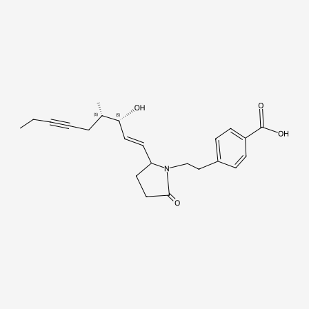 CCC#CC[C@H](C)[C@H](O)C=CC1CCC(=O)N1CCc1ccc(C(=O)O)cc1